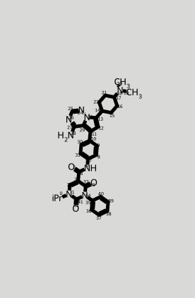 CC(C)n1cc(C(=O)Nc2ccc(-c3cc(C4CCC(N(C)C)CC4)n4ncnc(N)c34)cc2)c(=O)n(-c2ccccc2)c1=O